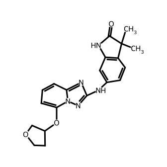 CC1(C)C(=O)Nc2cc(Nc3nc4cccc(OC5CCOC5)n4n3)ccc21